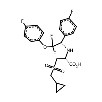 O=C(O)[C@H](CS(=O)(=O)CC1CC1)N[C@@H](c1ccc(F)cc1)C(F)(F)Oc1ccc(F)cc1